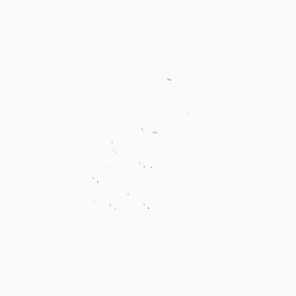 Nc1ncnc2[nH]c(C=CC3CCCCC3)nc12